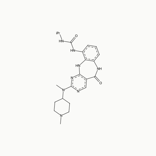 CC(C)NC(=O)Nc1cccc2c1Nc1nc(N(C)C3CCN(C)CC3)ncc1C(=O)N2